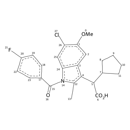 COc1cc2c(C(C(=O)O)C3CCCC3)c(C)n(C(=O)c3ccc(F)cc3)c2cc1Cl